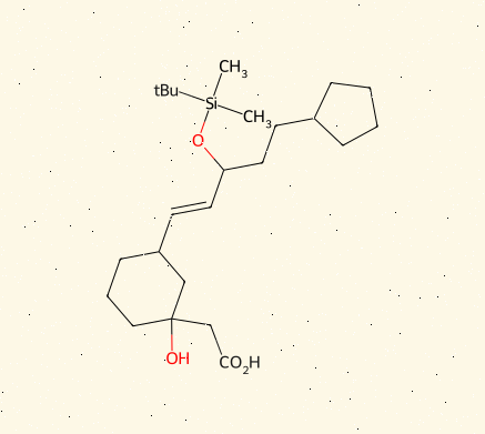 CC(C)(C)[Si](C)(C)OC(C=CC1CCCC(O)(CC(=O)O)C1)CCC1CCCC1